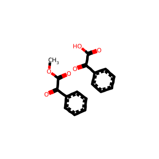 COC(=O)C(=O)c1ccccc1.O=C(O)C(=O)c1ccccc1